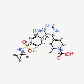 CC1CC(c2ncnc3[nH]c4cc(S(=O)(=O)NC5(C)CC5)c(F)cc4c23)=CCN1C(=O)O